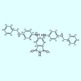 O=C1NC(=O)c2cc(Nc3ccc(OCc4ccccc4)cc3)c(Nc3ccc(OCc4ccccc4)cc3)cc21